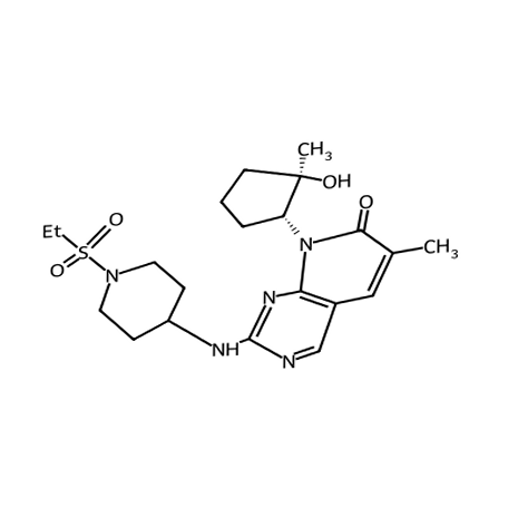 CCS(=O)(=O)N1CCC(Nc2ncc3cc(C)c(=O)n([C@@H]4CCC[C@@]4(C)O)c3n2)CC1